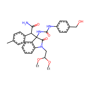 CCOC(CN1C(=O)C(NC(=O)Nc2ccc(CO)cc2)(C(C(N)=O)c2ccc(C)cc2)c2ccccc21)OCC